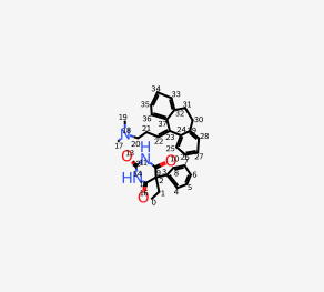 CCC1(c2ccccc2)C(=O)NC(=O)NC1=O.CN(C)CCC=C1c2ccccc2CCc2ccccc21